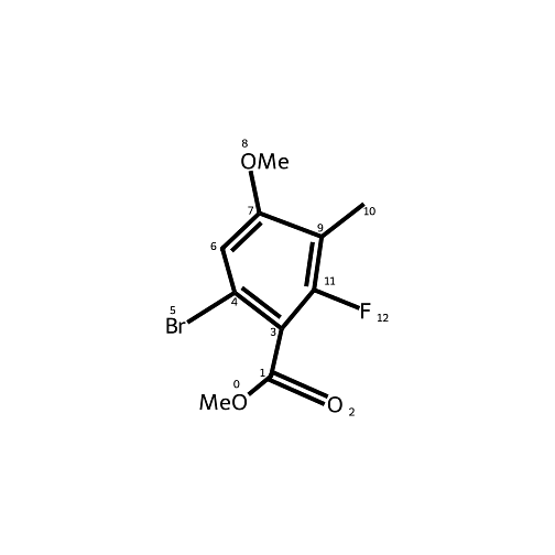 COC(=O)c1c(Br)cc(OC)c(C)c1F